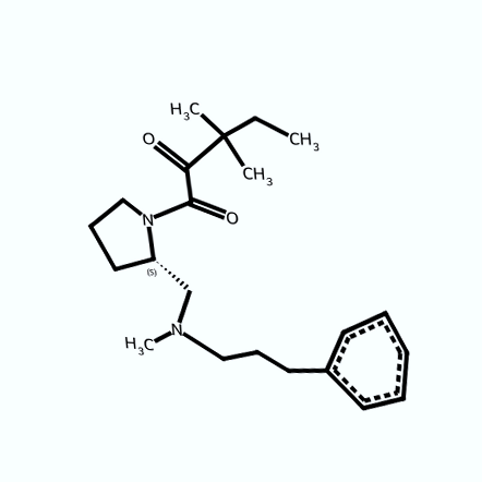 CCC(C)(C)C(=O)C(=O)N1CCC[C@H]1CN(C)CCCc1ccccc1